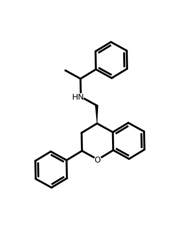 CC(NC[C@@H]1CC(c2ccccc2)Oc2ccccc21)c1ccccc1